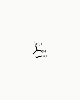 CC(=O)O.CC(S)S(=O)(=O)O